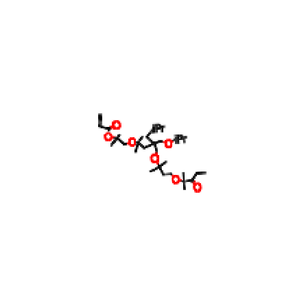 C=CC(=O)OC(C)(C)COC(C)(C)CC(COC(C)C)(COC(C)(C)CCOC(C)(C)C(=O)C=C)CC(C)C